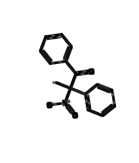 [CH2]C(C(=O)c1ccccc1)(c1ccccc1)[N+](=O)[O-]